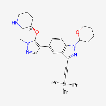 CC(C)[Si](C#Cc1nn(C2CCCCO2)c2ccc(-c3cnn(C)c3O[C@@H]3CCCNC3)cc12)(C(C)C)C(C)C